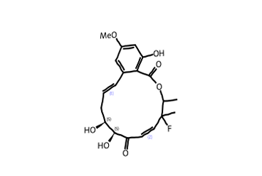 COc1cc(O)c2c(c1)/C=C/C[C@H](O)[C@H](O)C(=O)/C=C\C(C)(F)C(C)OC2=O